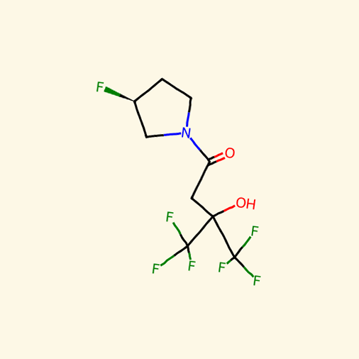 O=C(CC(O)(C(F)(F)F)C(F)(F)F)N1CC[C@H](F)C1